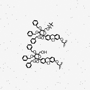 CO[C@@]1(c2ccc(Cl)c(Cc3ccc(OCC(F)F)cc3)c2)O[C@H](CO)[C@@H](OCc2ccccc2)[C@H](OCc2ccccc2)[C@H]1OCc1ccccc1.CO[C@@]1(c2ccc(Cl)c(Cc3ccc(OCC(F)F)cc3)c2)O[C@H](CO[Si](C)(C)C(C)(C)C)[C@@H](OCc2ccccc2)[C@H](OCc2ccccc2)[C@H]1OCc1ccccc1